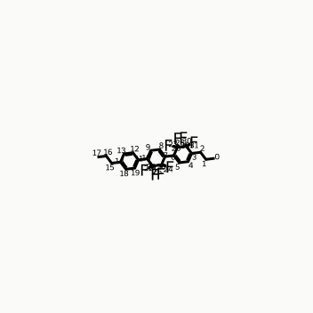 CCCC1=CC=C(C2=CC=C(c3ccc(CCC)cc3)C(F)(F)C2(F)F)C(F)(F)C1(F)F